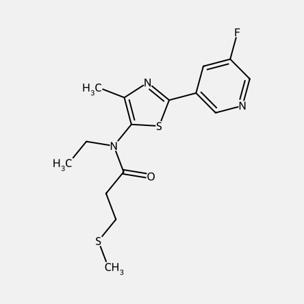 CCN(C(=O)CCSC)c1sc(-c2cncc(F)c2)nc1C